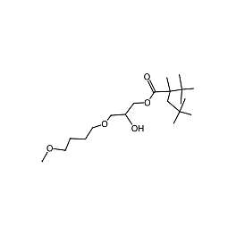 COCCCCOCC(O)COC(=O)C(C)(CC(C)(C)C)C(C)(C)C